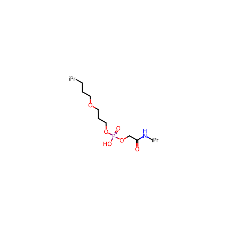 CC(C)CCCOCCCOP(=O)(O)OCC(=O)NC(C)C